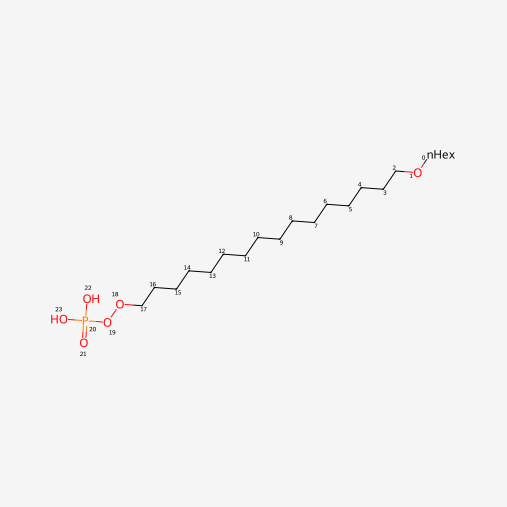 CCCCCCOCCCCCCCCCCCCCCCCOOP(=O)(O)O